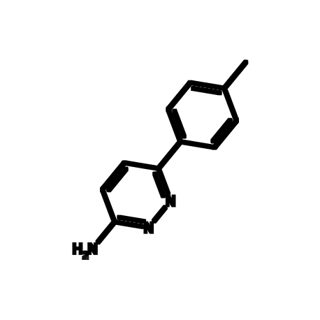 Cc1ccc(-c2ccc(N)nn2)cc1